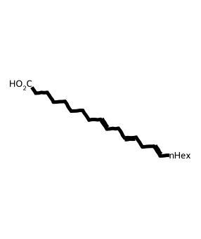 CCCCCCC=CCC=CCC=CCCCCCCCC(=O)O